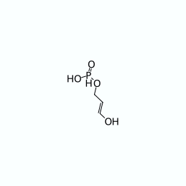 O=[PH](O)OCC=CO